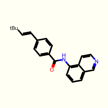 CC(C)(C)/C=C/c1ccc(C(=O)Nc2cccc3cnccc23)cc1